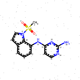 CS(=O)(=O)n1ccc2cccc(Nc3ccnc(N)n3)c21